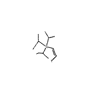 CC(C)[Si](/C=C\I)(C(C)C)C(C)C